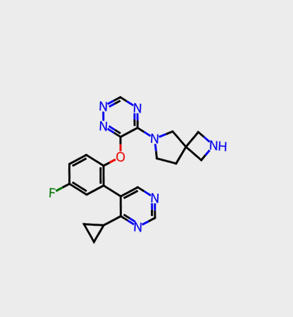 Fc1ccc(Oc2nncnc2N2CCC3(CNC3)C2)c(-c2cncnc2C2CC2)c1